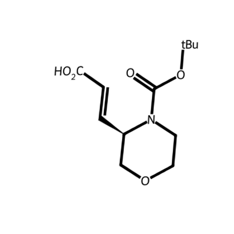 CC(C)(C)OC(=O)N1CCOC[C@H]1/C=C/C(=O)O